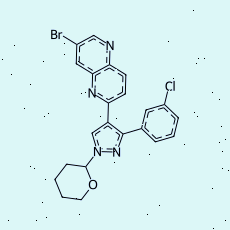 Clc1cccc(-c2nn(C3CCCCO3)cc2-c2ccc3ncc(Br)cc3n2)c1